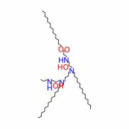 CCCCCCCCCCCCCCOC(=O)CCNCC(O)CN(CCCCCCCCCCCCCC)CCCCN(CCCCCCCCCCCCCC)CC(O)CNCCC